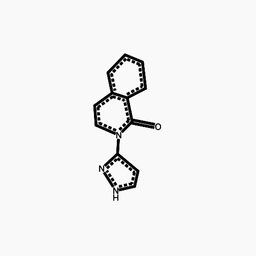 O=c1c2ccccc2ccn1-c1cc[nH]n1